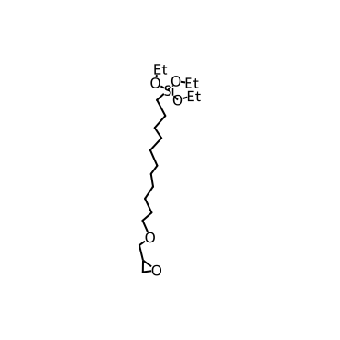 CCO[Si](CCCCCCCCCCCOCC1CO1)(OCC)OCC